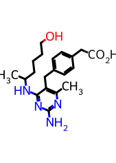 Cc1nc(N)nc(NC(C)CCCCO)c1Cc1ccc(CC(=O)O)cc1